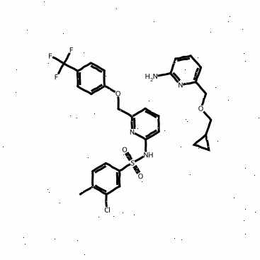 Cc1ccc(S(=O)(=O)Nc2cccc(COc3ccc(C(F)(F)F)cc3)n2)cc1Cl.Nc1cccc(COCC2CC2)n1